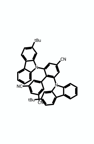 CC(C)(C)c1ccc2c3ccccc3n(-c3cc(C#N)cc(-n4c5ccccc5c5ccc(C(C)(C)C)cc54)c3-c3cc(C#N)cc(C#N)c3)c2c1